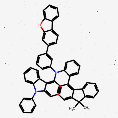 CC1(C)c2ccccc2-c2c(-c3ccccc3N(c3cccc(-c4ccc5c(c4)oc4ccccc45)c3)c3cccc4c3c3ccccc3n4-c3ccccc3)cccc21